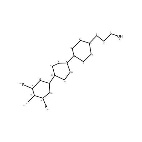 OCCCC1CCC(C2CCC(C3CC(F)C(F)C(F)C3)CC2)CC1